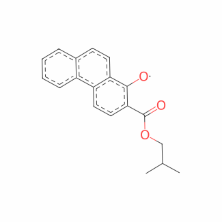 CC(C)COC(=O)c1ccc2c(ccc3ccccc32)c1[O]